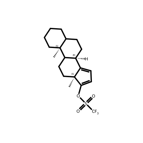 C[C@]12CCC3[C@@H](CCC4CCCC[C@@]43C)C1=CC=C2OS(=O)(=O)C(F)(F)F